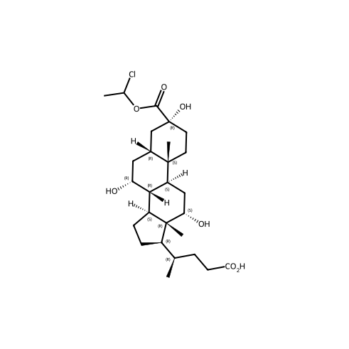 CC(Cl)OC(=O)[C@@]1(O)CC[C@@]2(C)[C@H](C[C@@H](O)[C@@H]3[C@@H]2C[C@H](O)[C@]2(C)[C@@H]([C@H](C)CCC(=O)O)CC[C@@H]32)C1